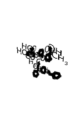 CC(C(=O)O)c1cccc(Oc2ccccc2)c1.CCC(=O)N(c1ccccc1)C1CCN(CCc2ccccc2)CC1.O=C(O)CC(O)(CC(=O)O)C(=O)O